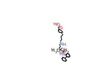 CC(C)(CCCNCCCCc1ccc(CC(=O)O)cc1)OC(=O)Nc1ccccc1-c1ccccc1